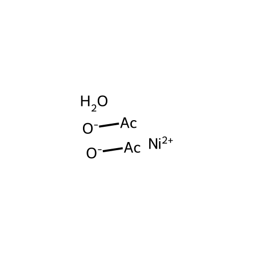 CC(=O)[O-].CC(=O)[O-].O.[Ni+2]